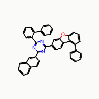 c1ccc(-c2ccccc2-c2nc(-c3ccc4ccccc4c3)nc(-c3ccc4c(c3)oc3cccc(-c5ccccc5)c34)n2)cc1